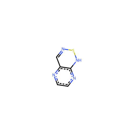 C1=NSNc2nccnc21